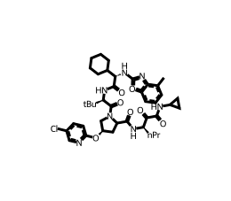 CCC[C@@H](NC(=O)C1C[C@@H](Oc2ccc(Cl)cn2)CN1C(=O)[C@H](NC(=O)[C@@H](Nc1nc2c(C)cccc2o1)C1CCCCC1)C(C)(C)C)C(=O)C(=O)NC1CC1